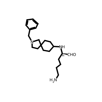 NCCCC[C@H](C=O)NC1CCC2(CC1)CCN(Cc1ccccc1)C2